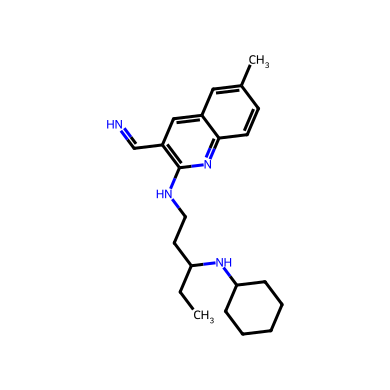 CCC(CCNc1nc2ccc(C)cc2cc1C=N)NC1CCCCC1